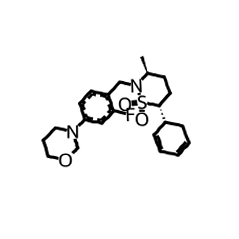 C[C@H]1CC[C@H](C2C=CC=CC2)S(=O)(=O)N1Cc1ccc(N2CCCOC2)cc1F